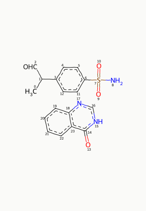 CC(C=O)c1ccc(S(N)(=O)=O)cc1.O=c1[nH]cnc2ccccc12